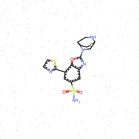 NS(=O)(=O)c1cc(-c2nccs2)c2oc(N3CC4CCCC3CN4)nc2c1